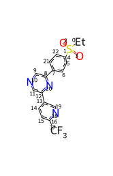 CCS(=O)(=O)c1ccc(-c2cncc(-c3ccc(C(F)(F)F)nc3)n2)cc1